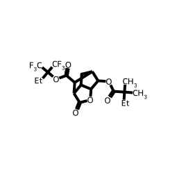 CCC(C)(C)C(=O)OC1C2CC3C1OC(=O)C3C2C(=O)OC(CC)(C(F)(F)F)C(F)(F)F